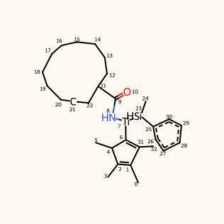 CC1=C(C)C(C)[C]([Ti]([NH]C(=O)C2CCCCCCCCCCC2)[SiH](C)c2ccccc2)=C1C